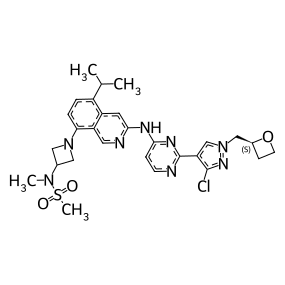 CC(C)c1ccc(N2CC(N(C)S(C)(=O)=O)C2)c2cnc(Nc3ccnc(-c4cn(C[C@@H]5CCO5)nc4Cl)n3)cc12